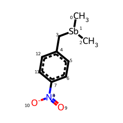 [CH3][Sb]([CH3])[CH2]c1ccc([N+](=O)[O-])cc1